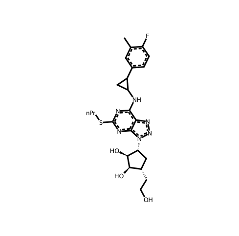 CCCSc1nc(NC2CC2c2ccc(F)c(C)c2)c2nnn([C@@H]3C[C@H](CCO)[C@@H](O)[C@H]3O)c2n1